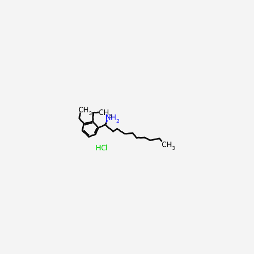 CCCCCCCCCC(N)c1cccc(CC)c1CC.Cl